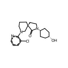 O=C1N([C@H]2CC[C@@H](O)CC2)CC[C@@]12CCCN(c1nc[c]cc1Cl)C2